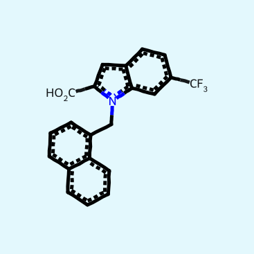 O=C(O)c1cc2ccc(C(F)(F)F)cc2n1Cc1cccc2ccccc12